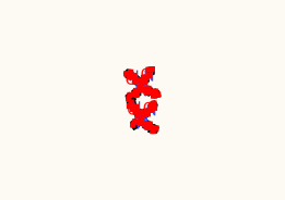 c1ccc(-c2ccc(-c3nc(-c4ccc(-c5cccc(-c6ccc7oc(-c8ccc9c(c8)c8cc(-c%10nc%11ccccc%11o%10)ccc8n9-c8nc(-c9ccccc9)nc(-c9ccc(-c%10ccccc%10)cc9)n8)nc7c6)c5)cc4)nc(-n4c5ccc(-c6nc7ccccc7o6)cc5c5cc(-c6nc7ccccc7o6)ccc54)n3)cc2)cc1